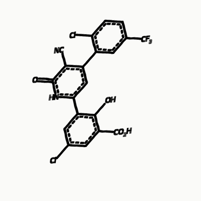 N#Cc1c(-c2cc(C(F)(F)F)ccc2Cl)cc(-c2cc(Cl)cc(C(=O)O)c2O)[nH]c1=O